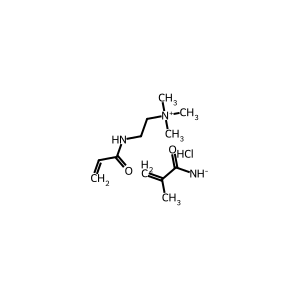 C=C(C)C([NH-])=O.C=CC(=O)NCC[N+](C)(C)C.Cl